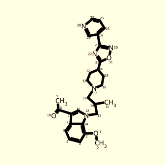 COc1cccc2c(C(C)=O)cn(CC(C)CN3CCC(c4nc(-c5cccnc5)no4)CC3)c12